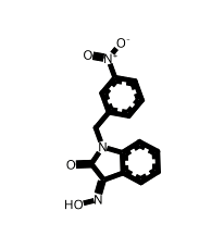 O=C1/C(=N\O)c2ccccc2N1Cc1cccc([N+](=O)[O-])c1